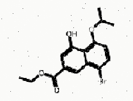 CCOC(=O)c1cc(O)c2c(OC(C)C)ccc(Br)c2c1